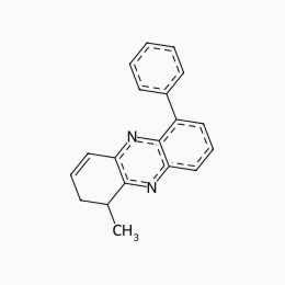 CC1CC=Cc2nc3c(-c4ccccc4)cccc3nc21